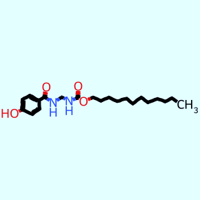 CCCCCCCCCCCCOC(=O)NCNC(=O)c1ccc(O)cc1